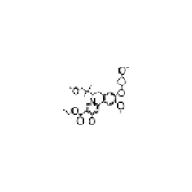 CCOC(=O)c1cn2c(cc1=O)-c1cc(OC)c(O[C@H]3C[C@H](OC)C3)cc1CC2C(C)(C)COC